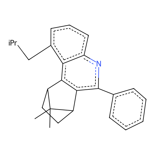 CC(C)Cc1cccc2nc(-c3ccccc3)c3c(c12)C1CCC3C1(C)C